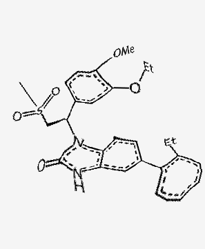 CCOc1cc([C@H](CS(C)(=O)=O)n2c(=O)[nH]c3cc(-c4ccccc4CC)ccc32)ccc1OC